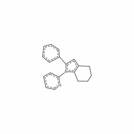 c1ccc(-c2cc3c(n2-c2ccccn2)CCCC3)cc1